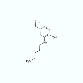 CCCCCNc1cc(CC)ccc1O